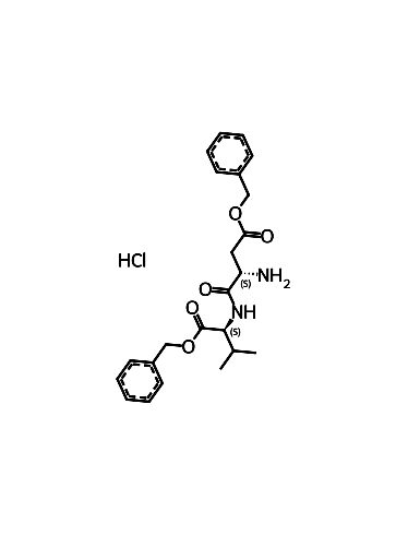 CC(C)[C@H](NC(=O)[C@@H](N)CC(=O)OCc1ccccc1)C(=O)OCc1ccccc1.Cl